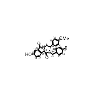 COc1ccc(CCN2C(=O)c3cc(O)ccc3C2C(=O)NCc2ccc(F)cc2)cc1